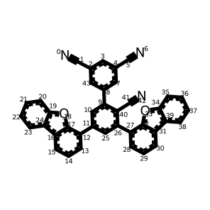 N#Cc1cc(C#N)cc(-c2cc(-c3cccc4c3oc3ccccc34)cc(-c3cccc4c3oc3ccccc34)c2C#N)c1